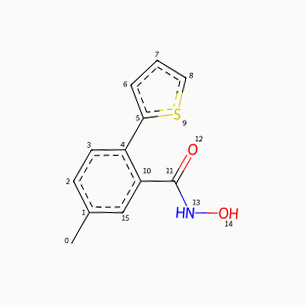 Cc1ccc(-c2cccs2)c(C(=O)NO)c1